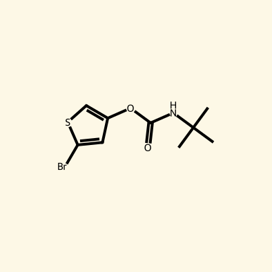 CC(C)(C)NC(=O)Oc1csc(Br)c1